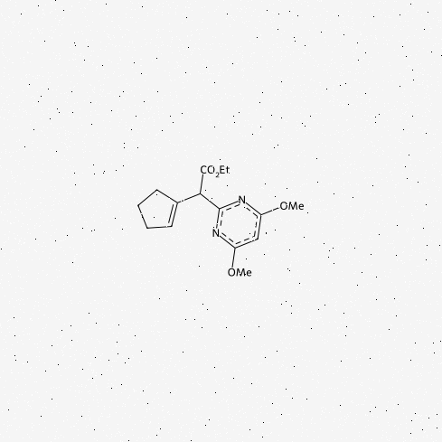 CCOC(=O)C(C1=CCCC1)c1nc(OC)cc(OC)n1